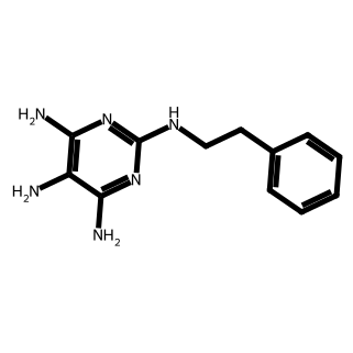 Nc1nc(NCCc2ccccc2)nc(N)c1N